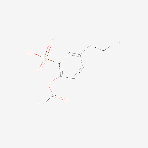 CCCc1ccc(OC(C)=O)c(S(=O)(=O)O)c1